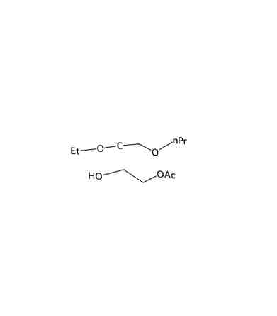 CC(=O)OCCO.CCCOCCOCC